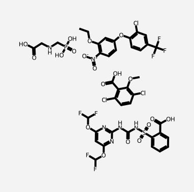 CCOc1cc(Oc2ccc(C(F)(F)F)cc2Cl)ccc1[N+](=O)[O-].COc1c(Cl)ccc(Cl)c1C(=O)O.O=C(Nc1nc(OC(F)F)cc(OC(F)F)n1)NS(=O)(=O)c1ccccc1C(=O)O.O=C(O)CNCP(=O)(O)O